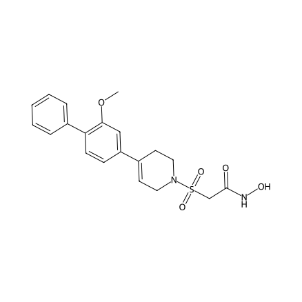 COc1cc(C2=CCN(S(=O)(=O)CC(=O)NO)CC2)ccc1-c1ccccc1